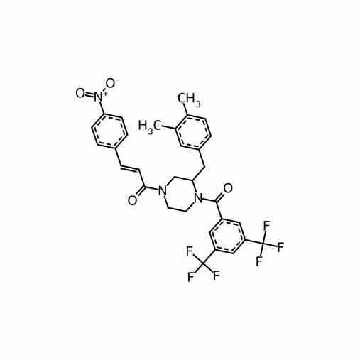 Cc1ccc(CC2CN(C(=O)C=Cc3ccc([N+](=O)[O-])cc3)CCN2C(=O)c2cc(C(F)(F)F)cc(C(F)(F)F)c2)cc1C